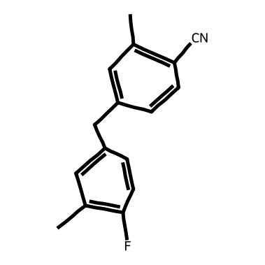 Cc1cc(Cc2ccc(C#N)c(C)c2)ccc1F